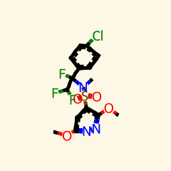 COc1cc(S(=O)(=O)N(C)C(F)(c2ccc(Cl)cc2)C(F)F)c(OC)nn1